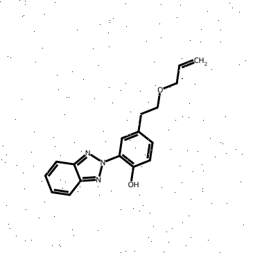 C=CCOCCc1ccc(O)c(-n2nc3ccccc3n2)c1